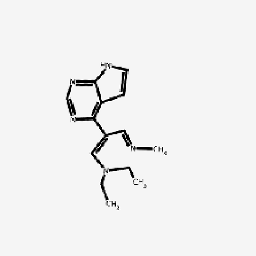 CCN(/C=C(\C=N\C)c1ncnc2[nH]ccc12)CC